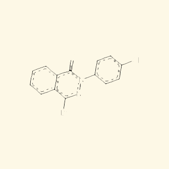 O=c1c2ccccc2c(Br)nn1-c1ccc(Cl)cc1